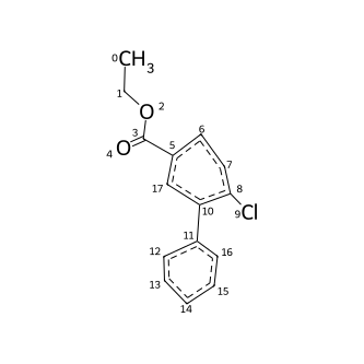 CCOC(=O)c1ccc(Cl)c(-c2ccccc2)c1